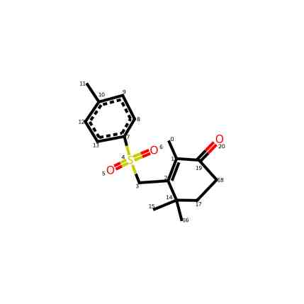 CC1=C(CS(=O)(=O)c2ccc(C)cc2)C(C)(C)CCC1=O